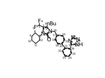 CCCCc1c(C(F)F)n(C2CCCCC2)c(=O)n1Cc1ccc(-c2ccccc2-c2nnn[nH]2)cc1